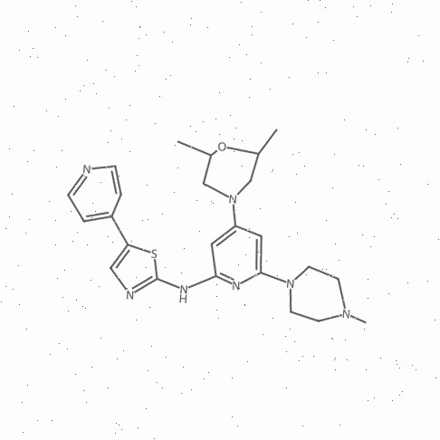 CC1CN(c2cc(Nc3ncc(-c4ccncc4)s3)nc(N3CCN(C)CC3)c2)CC(C)O1